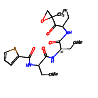 COCC(NC(=O)c1cccs1)C(=O)N[C@@H](COC)C(=O)NC(CC(C)C)C(=O)C1(C)CO1